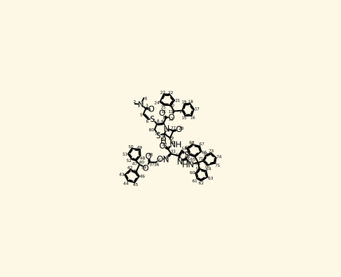 CN(C)C(=O)/C=C\SC1=C(C(=O)OC(c2ccccc2)c2ccccc2)N2C(=O)[C@@H](NC(=O)/C(=N\OCC(=O)OC(c3ccccc3)c3ccccc3)c3csc(NC(c4ccccc4)(c4ccccc4)c4ccccc4)n3)[C@@H]2SC1